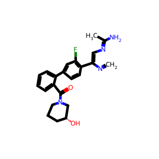 C=N/C(=C\N=C(/C)N)c1ccc(-c2ccccc2C(=O)N2CCC[C@@H](O)C2)cc1F